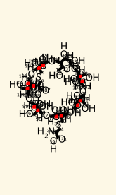 N[C@H](CSCC1O[C@H]2O[C@@H]3C(CO)O[C@H](O[C@@H]4C(CO)O[C@H](O[C@@H]5C(CO)O[C@@H](O[C@H]6C(CSC[C@@H](N)C(=O)O)O[C@H](O[C@@H]7C(CO)O[C@@H](O[C@@H]8C(CO)O[C@@H](O[C@H]1C(O)[C@@H]2O)[C@@H](O)C8O)[C@@H](O)C7O)C(O)[C@H]6O)C(O)[C@H]5O)[C@@H](O)C4O)[C@@H](O)C3O)C(=O)O